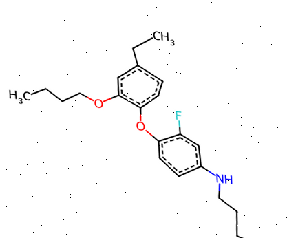 CCCCOc1cc(CC)ccc1Oc1ccc(NCCCO)cc1F